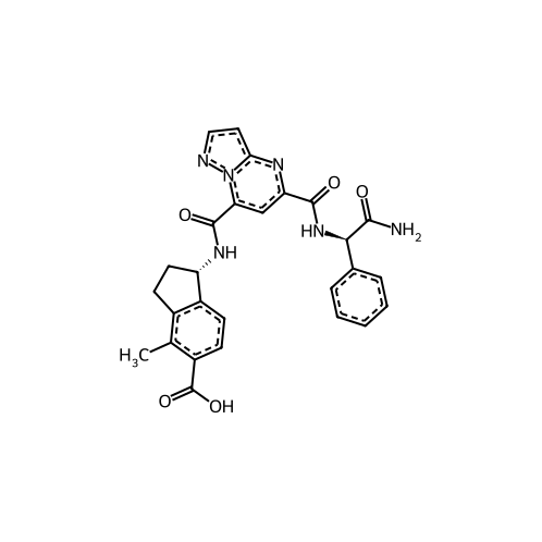 Cc1c(C(=O)O)ccc2c1CC[C@@H]2NC(=O)c1cc(C(=O)N[C@@H](C(N)=O)c2ccccc2)nc2ccnn12